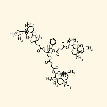 CO[C@@H](OC(=O)CCC(=O)OCC(COC(=O)CCC(=O)O[C@@H]1OC[C@@]23OO[C@@](C)(OC)CC[C@H]2[C@H](C)CC[C@H]3[C@H]1C)(COC(=O)CCC(=O)O[C@@H]1O[C@@H]2O[C@@]3(C)CC[C@H]4[C@H](C)CC[C@@](C)([C@H]1C)[C@@]24OO3)NCc1ccccc1)[C@H](C)[C@@H]1CC[C@@H](C)[C@@H]2CC[C@]3(C)OC[C@]12OO3